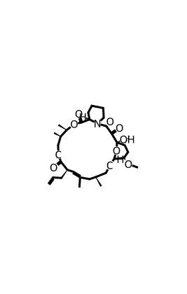 C=CC[C@@H]1/C=C(\C)C[C@H](C)CC[C@H]2O[C@@](O)(C(=O)C(=O)N3CCCC[C@H]3C(=O)O[C@H](C)[C@H](C)CCC1=O)[C@H](C)C[C@@H]2OC